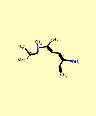 C=C/C(N)=C\C=C(/C)N(C)C[C@@H](C)OC